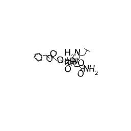 CC(C)CC(N)C(=O)N[C@@H](CCC(N)=O)C(=O)NCOCC(=O)OCc1ccccc1